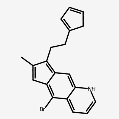 Cc1cc2c(Br)c3ccc[nH]c3cc2c1CCC1=CC=CC1